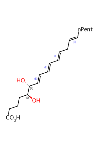 CCCCC/C=C/C/C=C/C=C/C=C/[C@@H](O)[C@@H](O)CCCC(=O)O